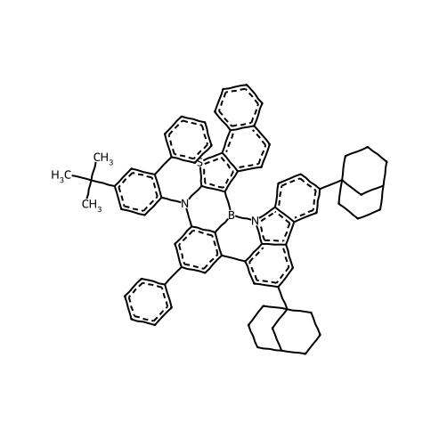 CC(C)(C)c1ccc(N2c3cc(-c4ccccc4)cc4c3B(c3c2sc2c3ccc3ccccc32)n2c3ccc(C56CCCC(CCC5)C6)cc3c3cc(C56CCCC(CCC5)C6)cc-4c32)c(-c2ccccc2)c1